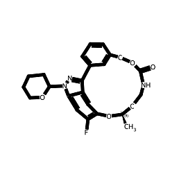 C[C@@H]1CCNC(=O)OCc2cccc(c2)-c2nn(C3CCCCO3)c3cc(F)c(cc23)O1